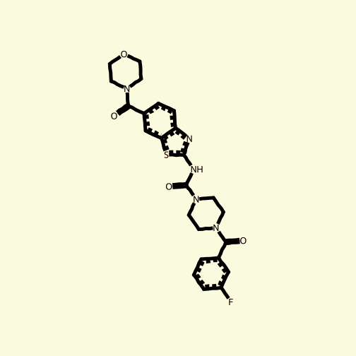 O=C(Nc1nc2ccc(C(=O)N3CCOCC3)cc2s1)N1CCN(C(=O)c2cccc(F)c2)CC1